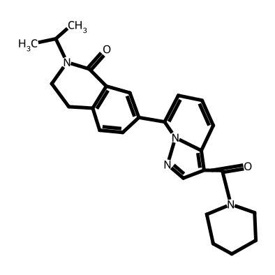 CC(C)N1CCc2ccc(-c3cccc4c(C(=O)N5CCCCC5)cnn34)cc2C1=O